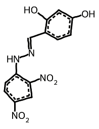 O=[N+]([O-])c1ccc(NN=Cc2ccc(O)cc2O)c([N+](=O)[O-])c1